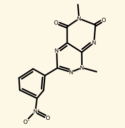 Cn1nc(-c2cccc([N+](=O)[O-])c2)nc2c(=O)n(C)c(=O)nc1-2